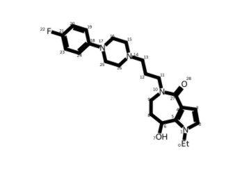 CCn1ccc2c1C(O)CCN(CCCN1CCN(c3ccc(F)cc3)CC1)C2=O